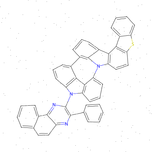 c1ccc(-c2nc3ccc4ccccc4c3nc2-n2c3cccc4c5cccc6c7c8c(ccc7n(c7cccc2c7c43)c56)sc2ccccc28)cc1